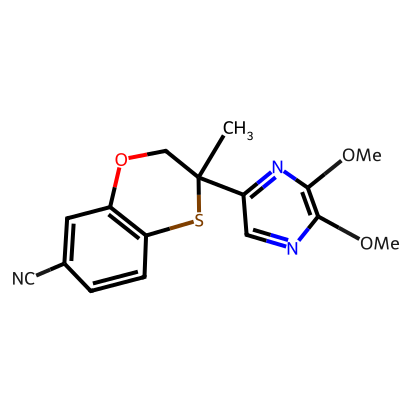 COc1ncc(C2(C)COc3cc(C#N)ccc3S2)nc1OC